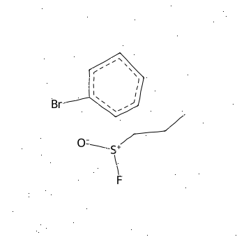 Brc1ccccc1.CCC[S+]([O-])F